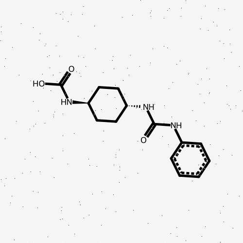 O=C(O)N[C@H]1CC[C@H](NC(=O)Nc2ccccc2)CC1